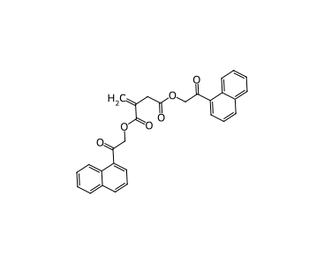 C=C(CC(=O)OCC(=O)c1cccc2ccccc12)C(=O)OCC(=O)c1cccc2ccccc12